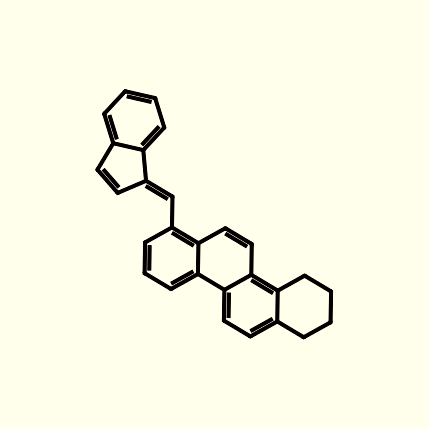 C1=Cc2ccccc2C1=Cc1cccc2c1ccc1c3c(ccc12)CCCC3